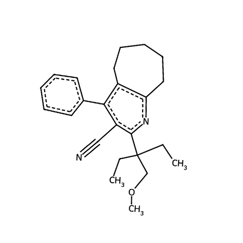 CCC(CC)(COC)c1nc2c(c(-c3ccccc3)c1C#N)CCCCC2